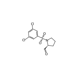 O=[C][C@@H]1CCCN1S(=O)(=O)c1cc(Cl)cc(Cl)c1